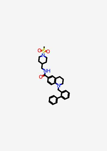 CS(=O)(=O)N1CCC(CNC(=O)c2ccc3c(c2)CCCN3Cc2ccccc2-c2ccccc2)CC1